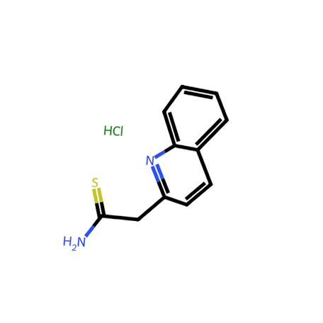 Cl.NC(=S)Cc1ccc2ccccc2n1